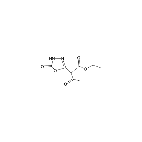 CCOC(=O)C(C(C)=O)c1n[nH]c(=O)o1